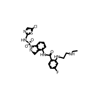 CCNCCNc1cc(F)ccc1C(=O)Nc1cccc2c1cnn2S(=O)(=O)Nc1ncc(Cl)s1